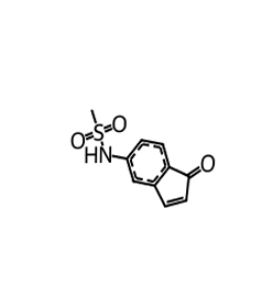 CS(=O)(=O)Nc1ccc2c(c1)C=CC2=O